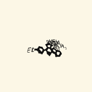 CCCCCCC1=Cc2c(-c3ccc(CC)cc3)cccc2[CH]1[Zr]([Cl])([Cl])([CH]1C=Cc2ccccc21)[SiH](C)C